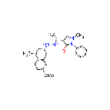 COc1ccc2c(C)cc(N/N=C(\C)c3cn(C)n(-c4ccccc4)c3=O)cc2c1